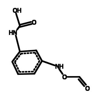 O=CONc1cccc(NC(=O)O)c1